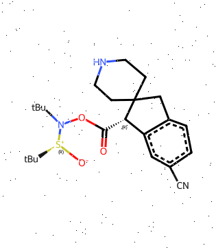 CC(C)(C)N(OC(=O)[C@H]1c2cc(C#N)ccc2CC12CCNCC2)[S@@+]([O-])C(C)(C)C